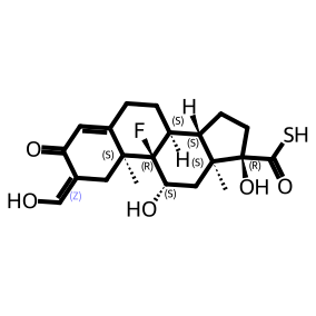 C[C@]12C/C(=C/O)C(=O)C=C1CC[C@H]1[C@@H]3CC[C@](O)(C(=O)S)[C@@]3(C)C[C@H](O)[C@@]12F